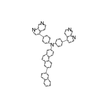 c1ccc2cc(-c3ccc4c(ccc5cc(N(c6ccc(-c7ccnc8cnccc78)cc6)c6ccc(-c7ccnc8cnccc78)cc6)ccc54)c3)ccc2c1